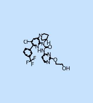 O=C(Nc1ccnc(OCCO)n1)N1c2nc(-c3cccc(C(F)(F)F)c3)c(Cl)cc2N2CC[C@H]1C2